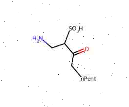 CCCCCCC(=O)C(CN)S(=O)(=O)O